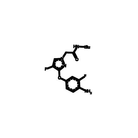 CC(C)(C)NC(=O)Cn1cc(F)c(Oc2ccc(N)c(F)c2)n1